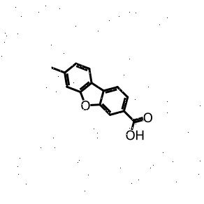 Cc1ccc2c(c1)oc1cc(C(=O)O)ccc12